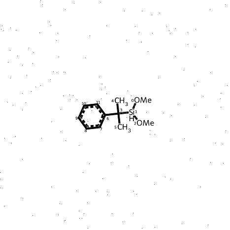 CO[SiH](OC)C(C)(C)c1ccccc1